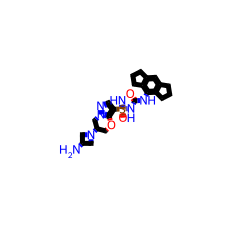 N=S(=O)(NC(=O)Nc1c2c(cc3c1CCC3)CCC2)c1cnn2c1OCC(N1CC(N)C1)C2